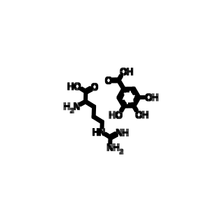 N=C(N)NCCCC(N)C(=O)O.O=C(O)c1cc(O)c(O)c(O)c1